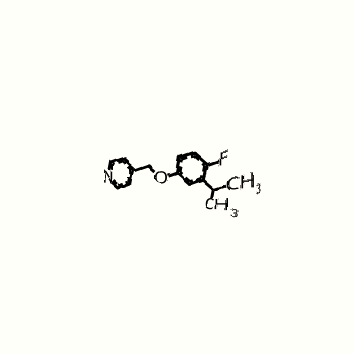 CC(C)c1cc(OCc2ccncc2)ccc1F